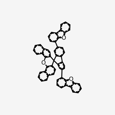 c1ccc2c3c(ccc2c1)C1(c2cc(-c4cccc5c4oc4ccccc45)ccc2-c2ccc(-c4cccc5c4oc4ccccc45)cc21)c1ccc2ccccc2c1O3